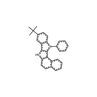 CC(C)(C)c1ccc2c(c1)c1[nH]c3ccc4ccccc4c3c1n2-c1ccccc1